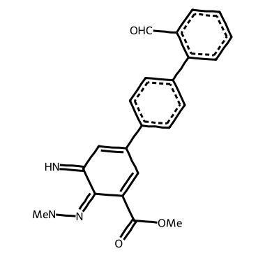 CN/N=C1\C(=N)C=C(c2ccc(-c3ccccc3C=O)cc2)C=C1C(=O)OC